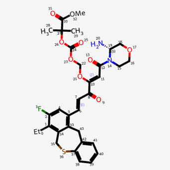 CCc1c(F)cc(/C=C/C(=O)/C(=C/C(=O)N2CCOC[C@H]2N)OCOC(=O)OC(C)(C)C(=O)OC)c2c1CSc1ccccc1C2